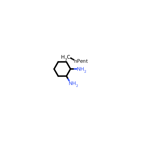 CCCCCC.NC1CCCCC1N